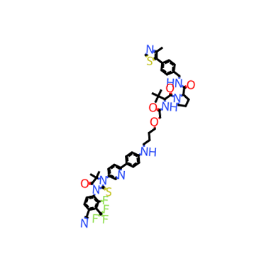 Cc1ncsc1-c1ccc(CNC(=O)C2CCCN2C(=O)C(NC(=O)COCCCCNc2ccc(-c3ccc(N4C(=S)N(c5ccc(C#N)c(C(F)(F)F)c5F)C(=O)C4(C)C)cn3)cc2)C(C)(C)C)cc1